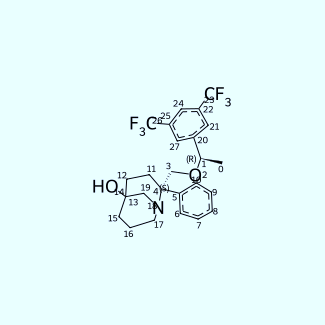 C[C@@H](OC[C@@]1(c2ccccc2)CCC2(O)CCCN1C2)c1cc(C(F)(F)F)cc(C(F)(F)F)c1